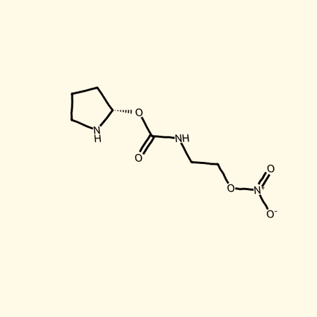 O=C(NCCO[N+](=O)[O-])O[C@H]1CCCN1